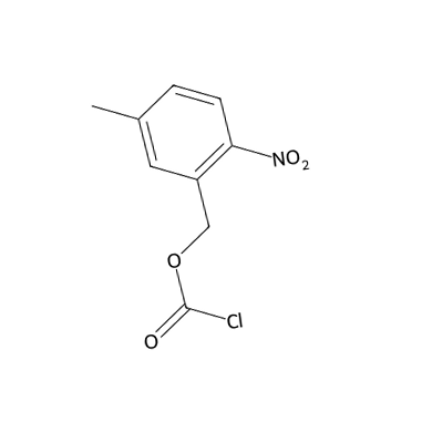 Cc1ccc([N+](=O)[O-])c(COC(=O)Cl)c1